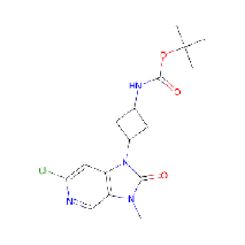 Cn1c(=O)n(C2CC(NC(=O)OC(C)(C)C)C2)c2cc(Cl)ncc21